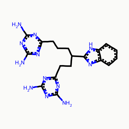 Nc1nc(N)nc(CCCC(CCc2nc(N)nc(N)n2)c2nc3ccccc3[nH]2)n1